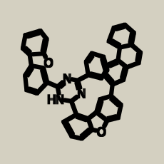 c1ccc(C2=NC(c3cccc4oc5ccc(-c6ccc7c(ccc8ccccc87)c6)cc5c34)NC(c3cccc4c3oc3ccccc34)=N2)cc1